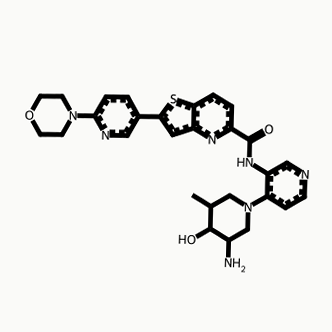 CC1CN(c2ccncc2NC(=O)c2ccc3sc(-c4ccc(N5CCOCC5)nc4)cc3n2)CC(N)C1O